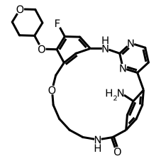 Nc1cc2ccc1-c1ccnc(n1)Nc1cc(F)c(OC3CCOCC3)c(c1)COCCCCNC2=O